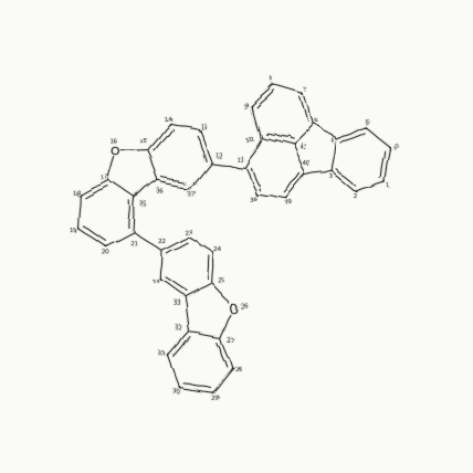 c1ccc2c(c1)-c1cccc3c(-c4ccc5oc6cccc(-c7ccc8oc9ccccc9c8c7)c6c5c4)ccc-2c13